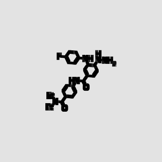 CCN(CC)C(=O)c1ccc(NC(=O)c2ccc(NN)c(Nc3ccc(F)cc3)c2)cc1